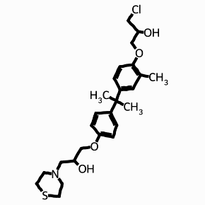 Cc1cc(C(C)(C)c2ccc(OCC(O)CN3CCSCC3)cc2)ccc1OCC(O)CCl